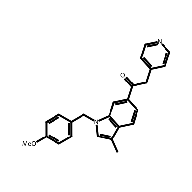 COc1ccc(Cn2cc(C)c3ccc(C(=O)Cc4ccncc4)cc32)cc1